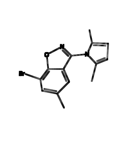 Cc1cc(Br)c2onc(-n3c(C)ccc3C)c2c1